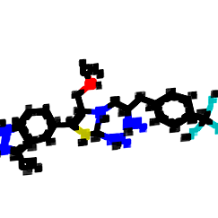 COCC1=C(c2ccc3[nH]nc(C)c3c2)SC(N)N1C[C@H](N)Cc1ccc(C(F)(F)F)cc1